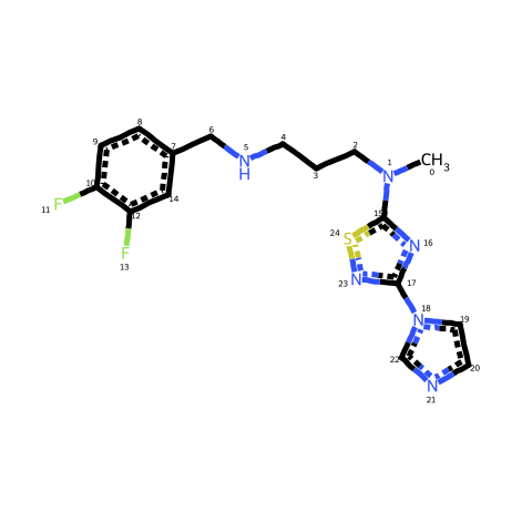 CN(CCCNCc1ccc(F)c(F)c1)c1nc(-n2ccnc2)ns1